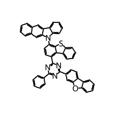 c1ccc(-c2nc(-c3ccc4c(c3)oc3ccccc34)nc(-c3ccc(-n4c5ccccc5c5cc6ccccc6cc54)c4sc5ccccc5c34)n2)cc1